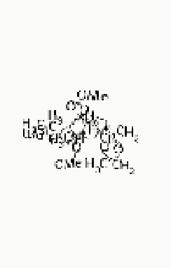 COCO[C@H]1C[C@H](O[Si](C)(C)C(C)(C)C)CC2=C[C@@H](OC(=O)OC)[C@H]3[C@@H]4CC[C@H](C(C)C5OCC(C)(C)CO5)[C@@]4(C)CC[C@@H]3[C@]21C